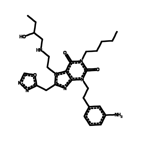 CCCCCn1c(=O)c2c(nc(Cc3nnco3)n2CCNCC(O)CC)n(CCc2cccc(N)c2)c1=O